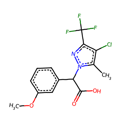 COc1cccc(C(C(=O)O)n2nc(C(F)(F)F)c(Cl)c2C)c1